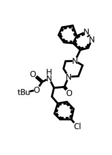 CC(C)(C)OC(=O)NC(Cc1ccc(Cl)cc1)C(=O)N1CCN(c2cnnc3ccccc23)CC1